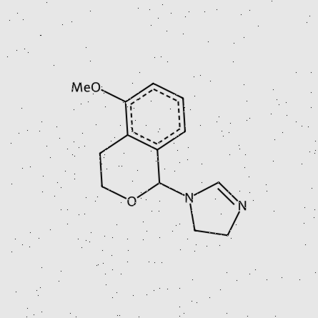 COc1cccc2c1CCOC2N1C=NCC1